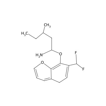 CCC(C)CC(N)OC1=C2OC=CC=C2CC=C1C(F)F